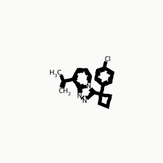 C=C(C)c1cccn2c(C3(c4ccc(Cl)cc4)CCC3)nnc12